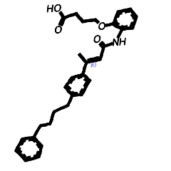 C/C(=C\C(=O)Nc1ccccc1OCCCC(=O)O)c1ccc(CCCCc2ccccc2)cc1